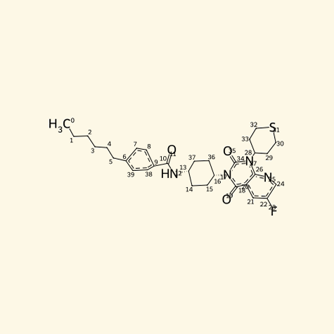 CCCCCCc1ccc(C(=O)N[C@H]2CC[C@@H](n3c(=O)c4cc(F)cnc4n(C4CCSCC4)c3=O)CC2)cc1